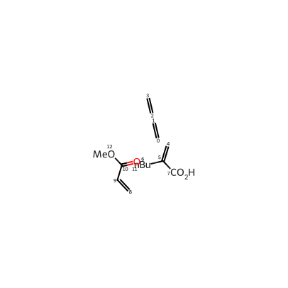 C=C.C=C.C=C(CCCC)C(=O)O.C=CC(=O)OC